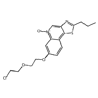 CCCc1nc2c[n+]([O-])c3cc(OCCOCCCl)ccc3c2s1